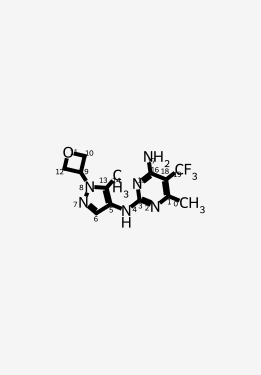 Cc1nc(Nc2cnn(C3COC3)c2C)nc(N)c1C(F)(F)F